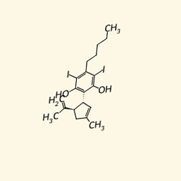 C=C(C)[C@@H]1CC(C)=C[C@H]1c1c(O)c(I)c(CCCCC)c(I)c1O